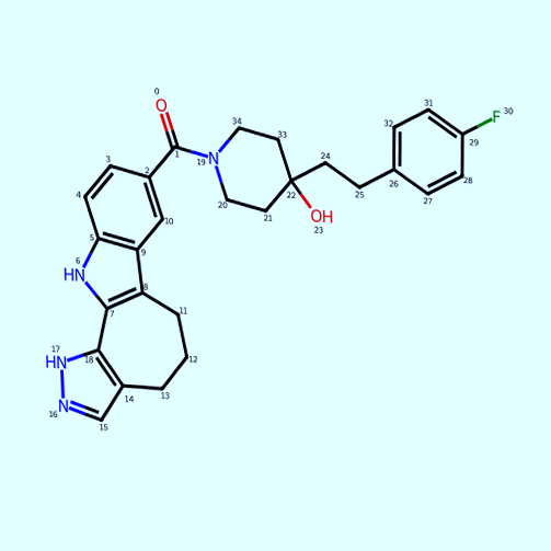 O=C(c1ccc2[nH]c3c(c2c1)CCCc1cn[nH]c1-3)N1CCC(O)(CCc2ccc(F)cc2)CC1